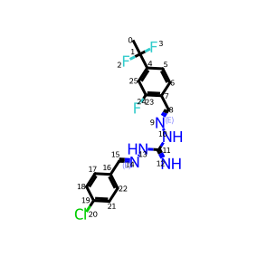 CC(F)(F)c1ccc(/C=N/NC(=N)N/N=C/c2ccc(Cl)cc2)c(F)c1